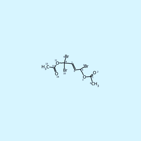 CC(=O)OC(Br)C=CC(Br)(Br)OC(C)=O